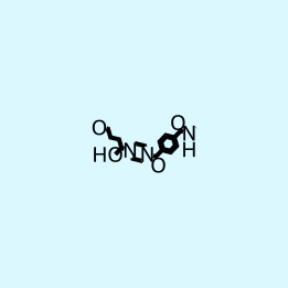 CNC(=O)c1ccc(C(=O)N2CCN(C(O)CCC=O)CC2)cc1